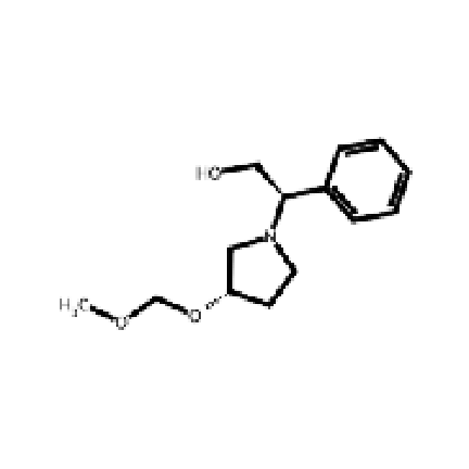 COCO[C@H]1CCN([C@@H](CO)c2ccccc2)C1